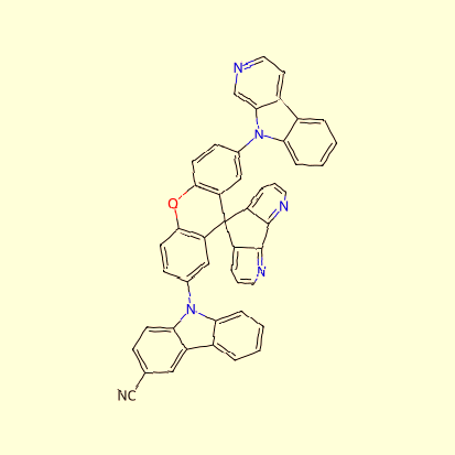 N#Cc1ccc2c(c1)c1ccccc1n2-c1ccc2c(c1)C1(c3cc(-n4c5ccccc5c5ccncc54)ccc3O2)c2cccnc2-c2ncccc21